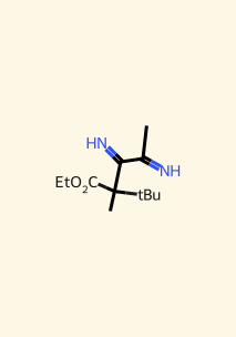 CCOC(=O)C(C)(C(=N)C(C)=N)C(C)(C)C